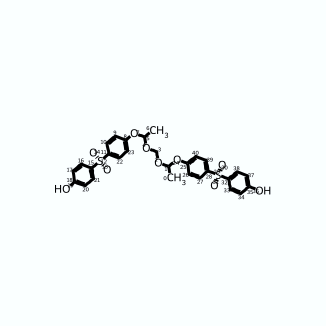 CC(OCOC(C)Oc1ccc(S(=O)(=O)c2ccc(O)cc2)cc1)Oc1ccc(S(=O)(=O)c2ccc(O)cc2)cc1